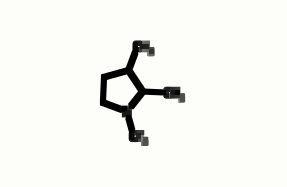 CC1CCN(C(F)(F)F)C1C